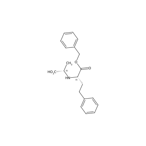 C[C@H](N[C@@H](CCc1ccccc1)C(=O)OCc1ccccc1)C(=O)O